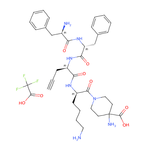 C#CC[C@@H](NC(=O)[C@@H](Cc1ccccc1)NC(=O)[C@H](N)Cc1ccccc1)C(=O)N[C@H](CCCCN)C(=O)N1CCC(N)(C(=O)O)CC1.O=C(O)C(F)(F)F